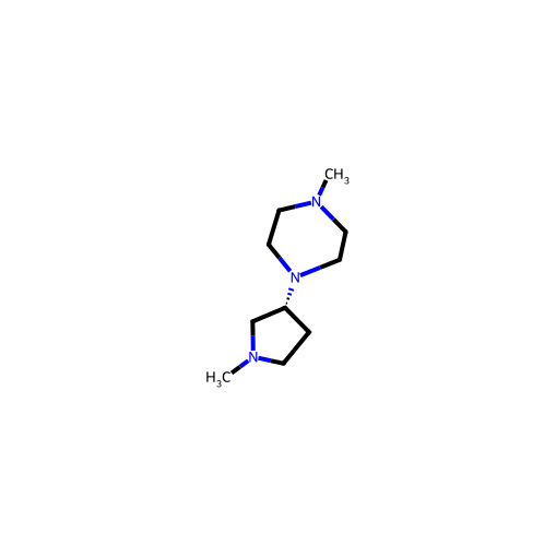 CN1CCN([C@@H]2CCN(C)C2)CC1